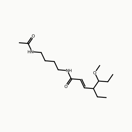 CCC(/C=C/C(=O)NCCCCNC(C)=O)C(CC)OC